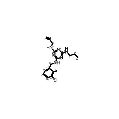 C#CCNc1nc(NCCC)nc(NCc2cccc(Cl)c2C)n1